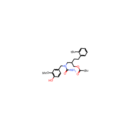 COc1cc(CN(CC(CCc2ccccc2C(C)(C)C)COC(=O)C(C)(C)C)C(N)=O)ccc1O